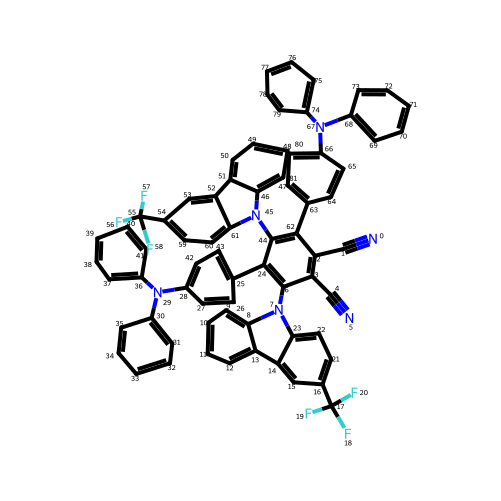 N#Cc1c(C#N)c(-n2c3ccccc3c3cc(C(F)(F)F)ccc32)c(-c2ccc(N(c3ccccc3)c3ccccc3)cc2)c(-n2c3ccccc3c3cc(C(F)(F)F)ccc32)c1-c1ccc(N(c2ccccc2)c2ccccc2)cc1